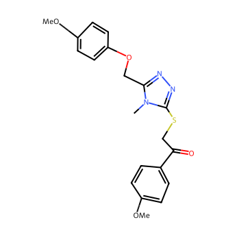 COc1ccc(OCc2nnc(SCC(=O)c3ccc(OC)cc3)n2C)cc1